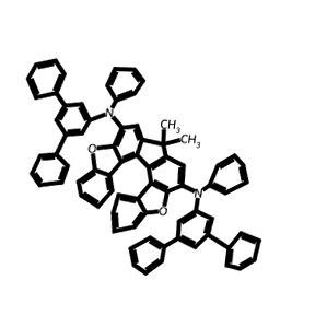 CC1(C)c2cc(N(c3ccccc3)c3cc(-c4ccccc4)cc(-c4ccccc4)c3)c3oc4ccccc4c3c2-c2c1cc(N(c1ccccc1)c1cc(-c3ccccc3)cc(-c3ccccc3)c1)c1oc3ccccc3c21